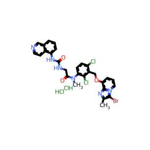 Cc1nc2c(OCc3c(Cl)ccc(N(C)C(=O)CNC(=O)Nc4cccc5cnccc45)c3Cl)cccn2c1Br.Cl.Cl